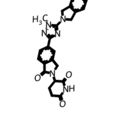 Cn1nc(-c2ccc3c(c2)CN(C2CCC(=O)NC2=O)C3=O)nc1N1Cc2ccccc2C1